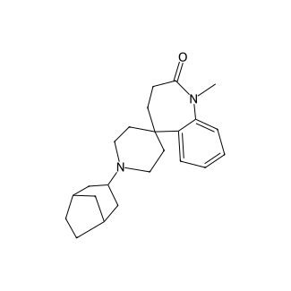 CN1C(=O)CCC2(CCN(C3CC4CCC(C4)C3)CC2)c2ccccc21